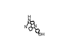 N#Cc1c[nH]c2ccc3nc(-c4ccc(O)cc4)c4c(c3c12)CCCC4